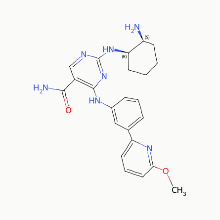 COc1cccc(-c2cccc(Nc3nc(N[C@@H]4CCCC[C@@H]4N)ncc3C(N)=O)c2)n1